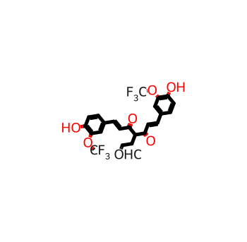 O=CCCC(C(=O)/C=C/c1ccc(O)c(OC(F)(F)F)c1)C(=O)/C=C/c1ccc(O)c(OC(F)(F)F)c1